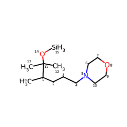 CC(CCCN1CCOCC1)C(C)(C)O[SiH3]